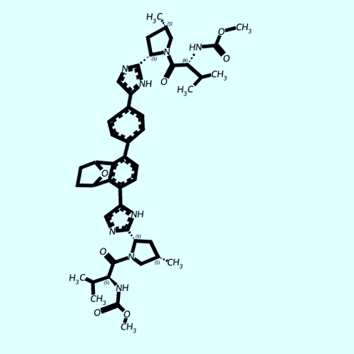 COC(=O)N[C@H](C(=O)N1C[C@@H](C)C[C@H]1c1ncc(-c2ccc(-c3ccc(-c4cnc([C@@H]5C[C@H](C)CN5C(=O)[C@H](NC(=O)OC)C(C)C)[nH]4)cc3)c3c2C2CCC3O2)[nH]1)C(C)C